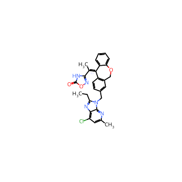 CCc1nc2c(Cl)cc(C)nc2n1Cc1ccc2c(c1)COc1ccccc1/C2=C(\C)c1noc(=O)[nH]1